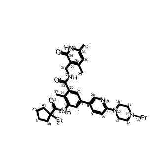 CCC1(C(=O)Nc2cc(-c3ccc(N4CCN(C(C)C)CC4)nc3)cc(C(=O)NCc3c(C)cc(C)[nH]c3=O)c2C)CCCC1